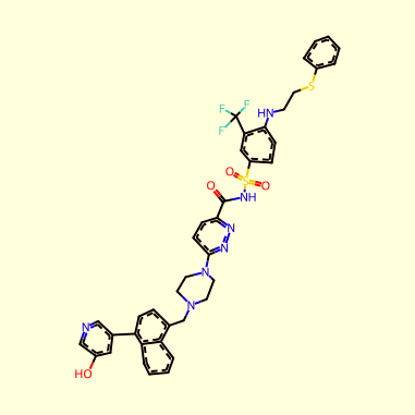 O=C(NS(=O)(=O)c1ccc(NCCSc2ccccc2)c(C(F)(F)F)c1)c1ccc(N2CCN(Cc3ccc(-c4cncc(O)c4)c4ccccc34)CC2)nn1